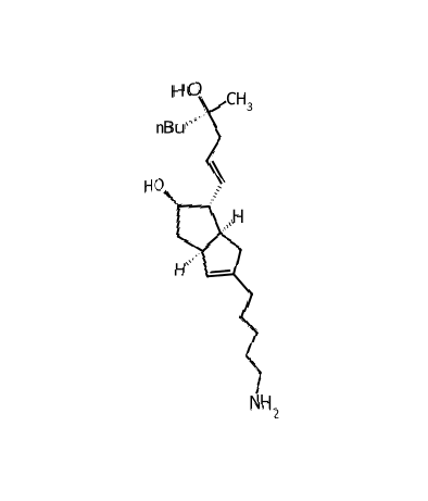 CCCC[C@@](C)(O)C/C=C/[C@@H]1[C@H]2CC(CCCCCN)=C[C@H]2C[C@H]1O